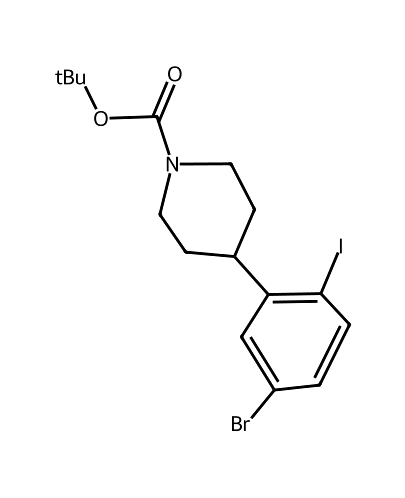 CC(C)(C)OC(=O)N1CCC(c2cc(Br)ccc2I)CC1